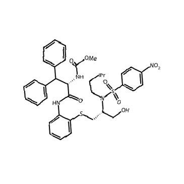 COC(=O)N[C@H](C(=O)Nc1ccccc1SC[C@@H](CO)N(CCC(C)C)S(=O)(=O)c1ccc([N+](=O)[O-])cc1)C(c1ccccc1)c1ccccc1